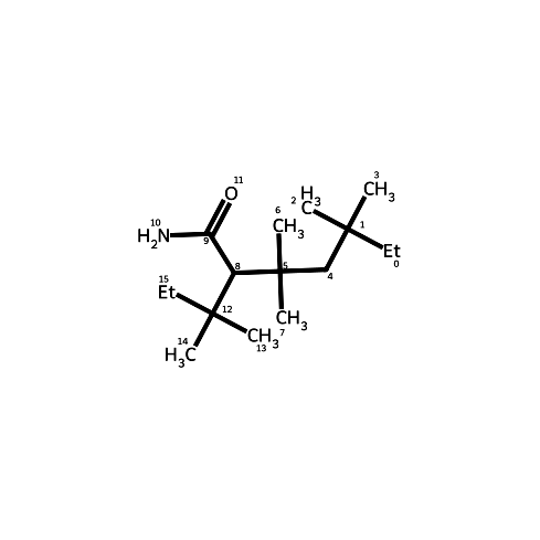 CCC(C)(C)CC(C)(C)C(C(N)=O)C(C)(C)CC